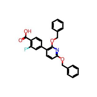 O=C(O)c1ccc(-c2ccc(OCc3ccccc3)nc2OCc2ccccc2)cc1F